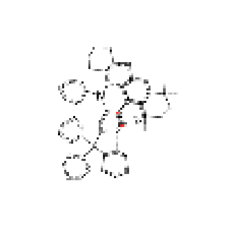 CC1(C)CCC(C)(C)c2c(-c3cc4c(cc3N(c3ccccc3)c3c(-c5ccccc5)ccc5c3CCCC5)C(c3ccccc3)(c3ccccc3)c3ccccc3-4)cccc21